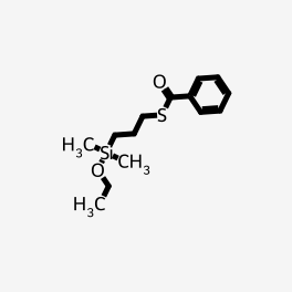 CCO[Si](C)(C)CCCSC(=O)c1ccccc1